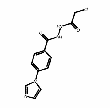 O=C(CCl)NNC(=O)c1ccc(-n2ccnc2)cc1